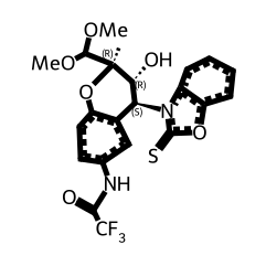 COC(OC)[C@]1(C)Oc2ccc(NC(=O)C(F)(F)F)cc2[C@H](n2c(=S)oc3ccccc32)[C@H]1O